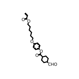 C=CC(=O)OCCCCCCOc1ccc(OC(=O)C2CCC(C=O)CC2)cc1